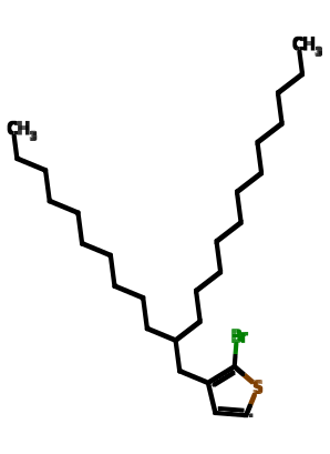 CCCCCCCCCCCCC(CCCCCCCCCC)Cc1c[c]sc1Br